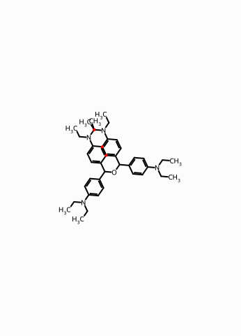 CCN(CC)c1ccc(C(OC(c2ccc(N(CC)CC)cc2)c2ccc(N(CC)CC)cc2)c2ccc(N(CC)CC)cc2)cc1